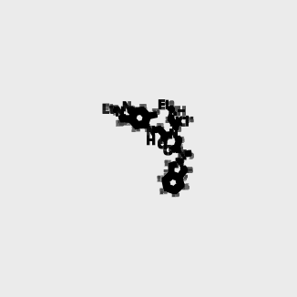 CCNCCN(CC(=O)N(C)N1Cc2ccccc2C1)C(=O)CNc1cc2cn(CC)nc2cc1C.Cl